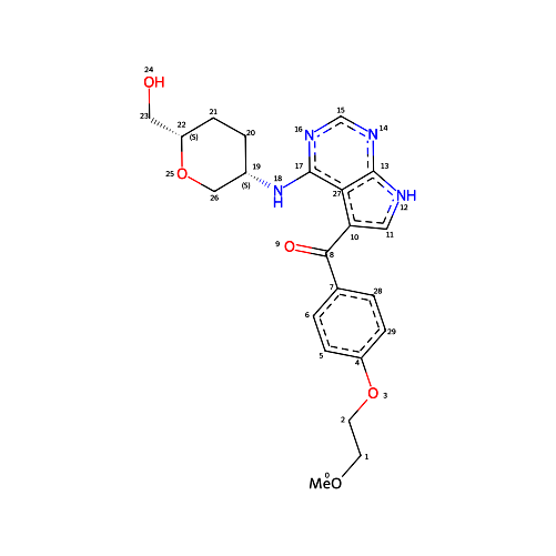 COCCOc1ccc(C(=O)c2c[nH]c3ncnc(N[C@H]4CC[C@@H](CO)OC4)c23)cc1